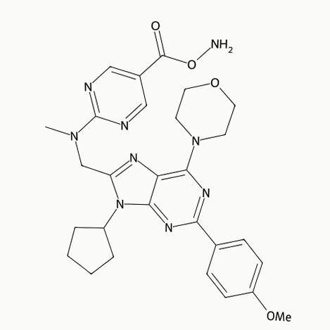 COc1ccc(-c2nc(N3CCOCC3)c3nc(CN(C)c4ncc(C(=O)ON)cn4)n(C4CCCC4)c3n2)cc1